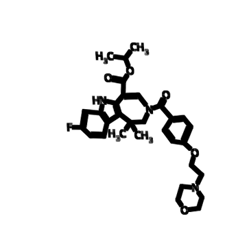 CC(C)OC(=O)C1=CN(C(=O)c2ccc(OCCN3CCOCC3)cc2)CC(C)(C)c2c1[nH]c1cc(F)ccc21